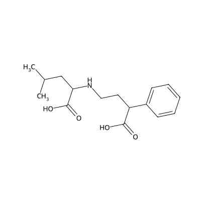 CC(C)CC(NCCC(C(=O)O)c1ccccc1)C(=O)O